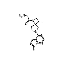 C[C@H]1CN(C(=O)CN)[C@]12CCN(c1ncnc3[nH]ccc13)C2